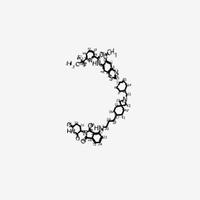 COc1cc2nc([C@H]3CC[C@H](CN4CC5(CCC(CCCNc6cccc7c6C(=O)N(C6CCC(=O)NC6=O)C7=O)CC5)C4)CC3)sc2cc1NC(=O)c1cccc(C(C)(F)F)n1